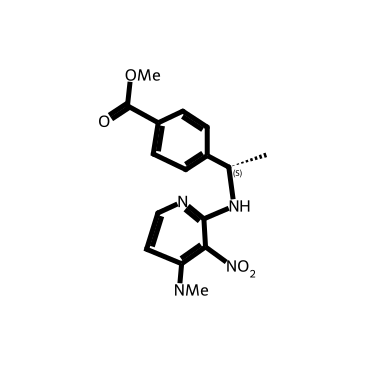 CNc1ccnc(N[C@@H](C)c2ccc(C(=O)OC)cc2)c1[N+](=O)[O-]